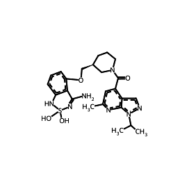 Cc1cc(C(=O)N2CCC[C@H](COc3cccc4c3C(N)=NS(O)(O)N4)C2)c2cnn(C(C)C)c2n1